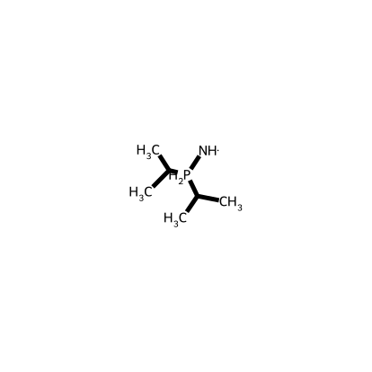 CC(C)[PH2]([NH])C(C)C